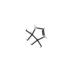 CC1(C)N=COC1(C)C